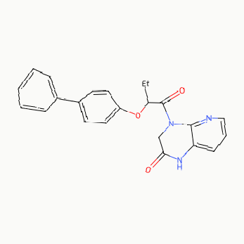 CCC(Oc1ccc(-c2ccccc2)cc1)C(=O)N1CC(=O)Nc2cccnc21